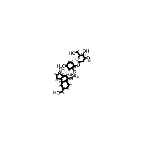 Cc1ccc(OC2CC(OI)C(O)C(CO)O2)c(OS(=O)(=O)Oc2cc3c(c4cc(CO)ccc24)CCN3C)c1